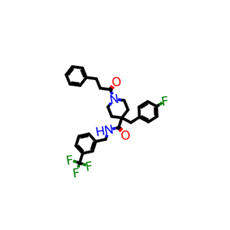 O=C(CCc1ccccc1)N1CCC(Cc2ccc(F)cc2)(C(=O)NCc2cccc(C(F)(F)F)c2)CC1